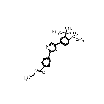 CCOC(=O)c1ccc(-c2ncc(-c3ccc(OC)c(C(C)(C)C)c3)s2)cc1